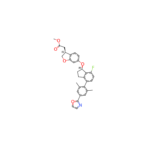 COC(=O)C[C@@H]1COc2cc(O[C@@H]3CCc4c(-c5c(C)cc(-c6ncco6)cc5C)ccc(F)c43)ccc21